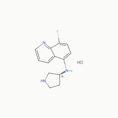 CN(c1ccc(F)c2ncccc12)[C@H]1CCNC1.Cl